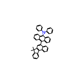 CC1(C)c2ccccc2-c2c1cc(-c1c3ccccc3c(N(c3ccccc3)c3ccccc3)c3ccccc13)c1ccccc21